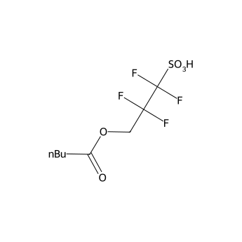 CCCCC(=O)OCC(F)(F)C(F)(F)S(=O)(=O)O